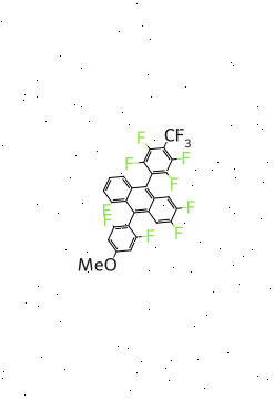 COc1cc(F)c(-c2c3cc(F)c(F)cc3c(-c3c(F)c(F)c(C(F)(F)F)c(F)c3F)c3cccc(F)c23)c(F)c1